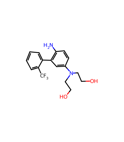 Nc1ccc(N(CCO)CCO)cc1-c1ccccc1C(F)(F)F